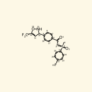 CS(=O)(=NC(=O)c1ccc(C2C=C(C(F)(F)F)ON2)cc1)c1ccc(F)cc1